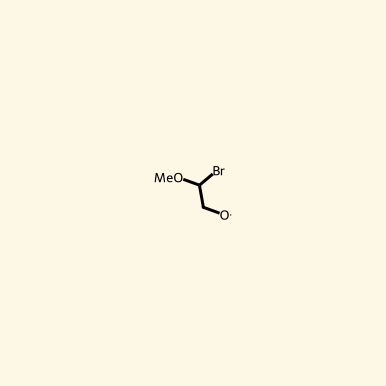 COC(Br)C[O]